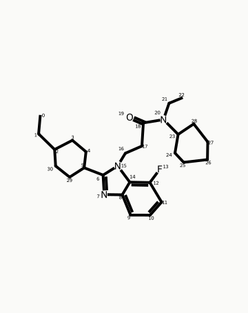 CCC1CCC(c2nc3cccc(F)c3n2CCC(=O)N(CC)C2CCCCC2)CC1